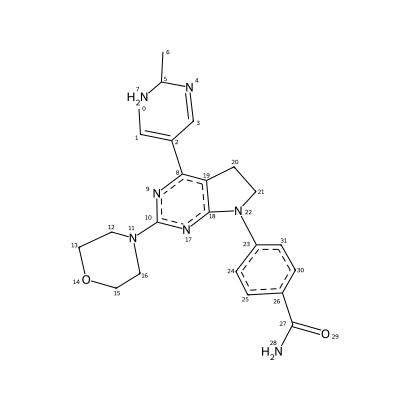 C/C=C(\C=N/C(C)N)c1nc(N2CCOCC2)nc2c1CCN2c1ccc(C(N)=O)cc1